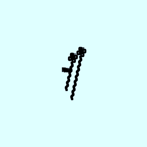 CCCCCCCCCCCCCCCCCCOS(=O)(=O)[O-].CCCCCCCCCCCCOS(=O)(=O)[O-].[Na+].[Na+]